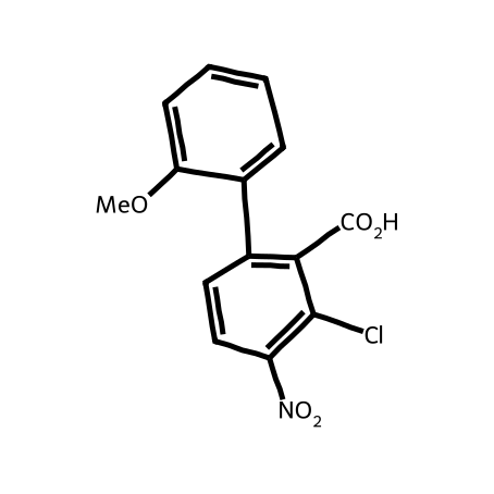 COc1ccccc1-c1ccc([N+](=O)[O-])c(Cl)c1C(=O)O